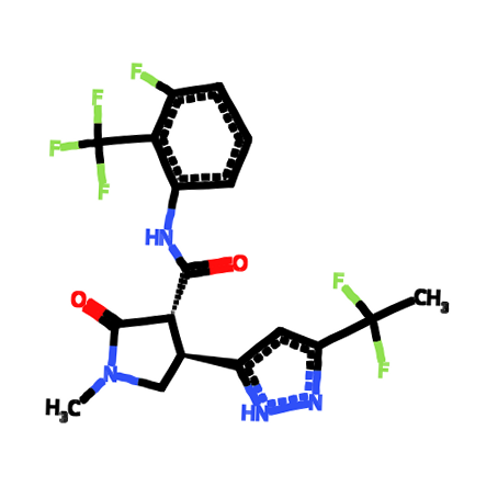 CN1C[C@H](c2cc(C(C)(F)F)n[nH]2)[C@@H](C(=O)Nc2cccc(F)c2C(F)(F)F)C1=O